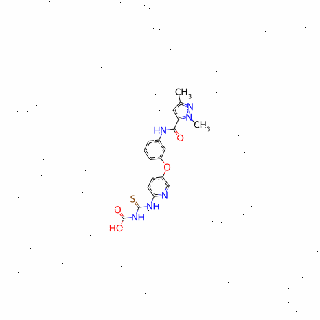 Cc1cc(C(=O)Nc2cccc(Oc3ccc(NC(=S)NC(=O)O)nc3)c2)n(C)n1